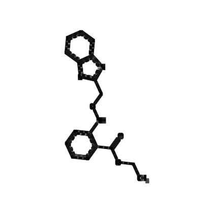 CCOC(=O)c1ccccc1NOCc1nc2ccccc2s1